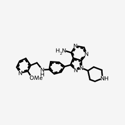 COc1ncccc1CNc1ccc(-c2nn(C3CCNCC3)c3ncnc(N)c23)cc1